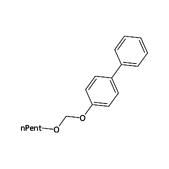 CCCCCOCOc1ccc(-c2ccccc2)cc1